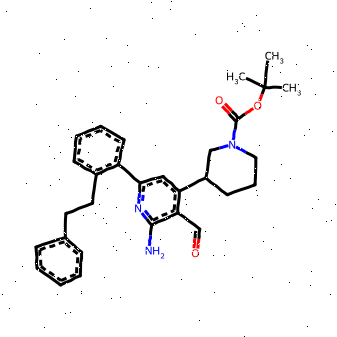 CC(C)(C)OC(=O)N1CCCC(c2cc(-c3ccccc3CCc3ccccc3)nc(N)c2C=O)C1